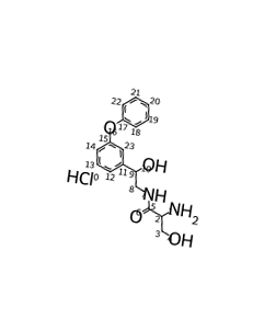 Cl.NC(CO)C(=O)NCC(O)c1cccc(Oc2ccccc2)c1